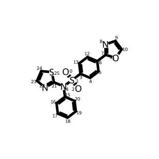 O=S(=O)(c1ccc(-c2ncco2)cc1)N(c1ccccc1)c1nccs1